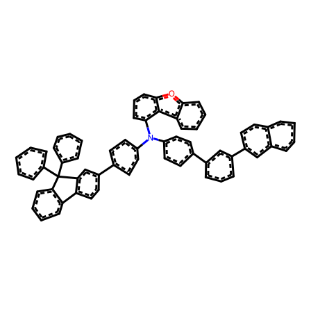 c1ccc(C2(c3ccccc3)c3ccccc3-c3ccc(-c4ccc(N(c5ccc(-c6cccc(-c7ccc8ccccc8c7)c6)cc5)c5cccc6oc7ccccc7c56)cc4)cc32)cc1